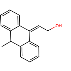 CC1c2ccccc2C(=CCO)c2ccccc21